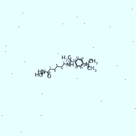 C=C(NCCCCCC(=O)NO)c1ccc(N(C)C)cc1